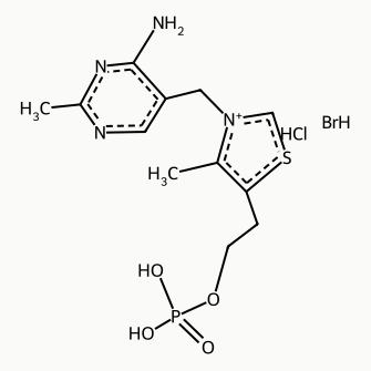 Br.Cc1ncc(C[n+]2csc(CCOP(=O)(O)O)c2C)c(N)n1.Cl